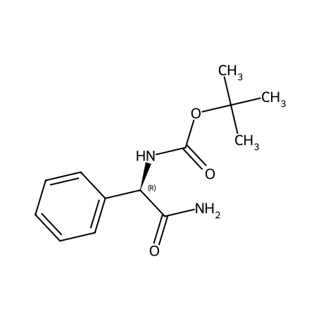 CC(C)(C)OC(=O)N[C@@H](C(N)=O)c1ccccc1